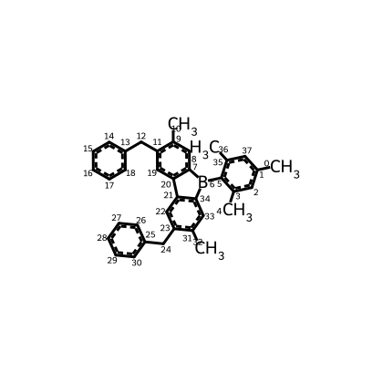 Cc1cc(C)c(B2c3cc(C)c(Cc4ccccc4)cc3-c3cc(Cc4ccccc4)c(C)cc32)c(C)c1